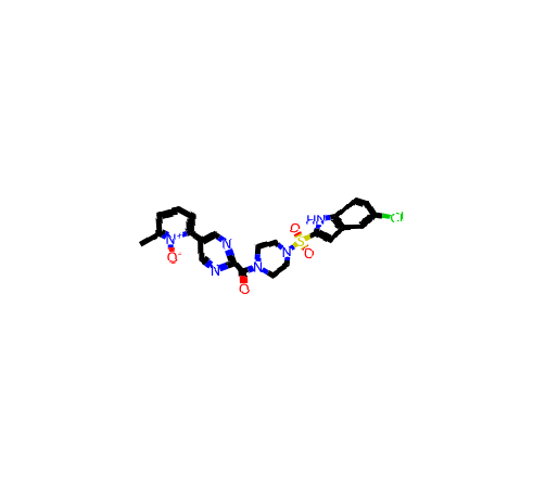 Cc1cccc(-c2cnc(C(=O)N3CCN(S(=O)(=O)c4cc5cc(Cl)ccc5[nH]4)CC3)nc2)[n+]1[O-]